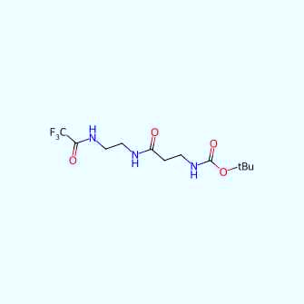 CC(C)(C)OC(=O)NCCC(=O)NCCNC(=O)C(F)(F)F